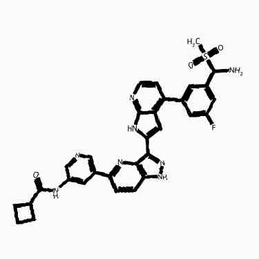 CS(=O)(=O)C(N)c1cc(F)cc(-c2ccnc3[nH]c(-c4n[nH]c5ccc(-c6cncc(NC(=O)C7CCC7)c6)nc45)cc23)c1